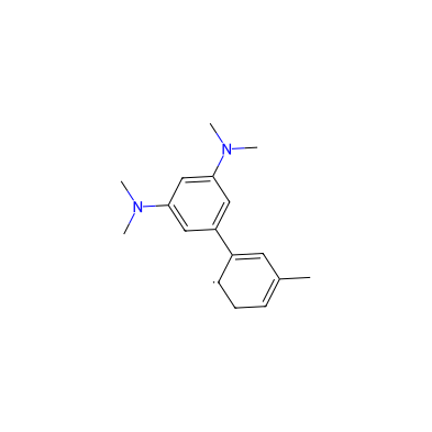 CC1=CC[CH]C(c2cc(N(C)C)cc(N(C)C)c2)=C1